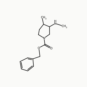 CNC1CN(C(=O)OCc2ccccc2)CCC1C